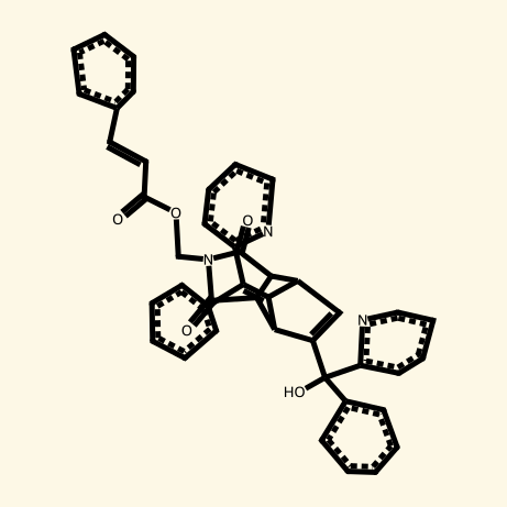 O=C(C=Cc1ccccc1)OCN1C(=O)C2C3C=C(C(O)(c4ccccc4)c4ccccn4)C(C3=C(c3ccccc3)c3ccccn3)C2C1=O